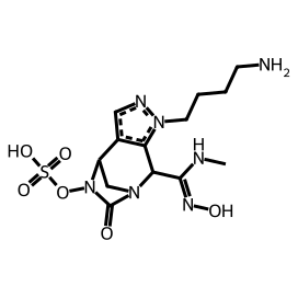 CN/C(=N\O)C1c2c(cnn2CCCCN)C2CN1C(=O)N2OS(=O)(=O)O